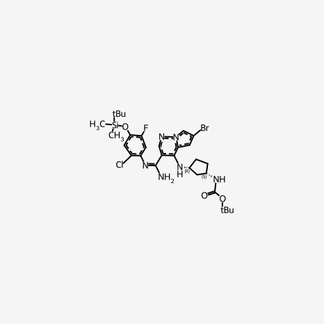 CC(C)(C)OC(=O)N[C@H]1CC[C@@H](Nc2c(C(N)=Nc3cc(F)c(O[Si](C)(C)C(C)(C)C)cc3Cl)cnn3cc(Br)cc23)C1